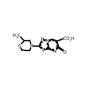 CC1CN(c2nn3cc(C(=O)O)c(=O)nc3s2)CCO1